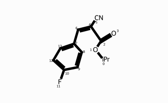 CC(C)OC(=O)C(C#N)=Cc1ccc(F)cc1